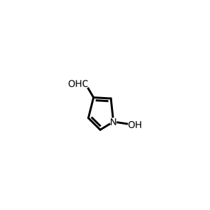 O=Cc1ccn(O)c1